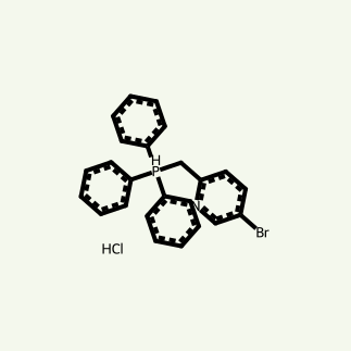 Brc1ccc(C[PH](c2ccccc2)(c2ccccc2)c2ccccc2)nc1.Cl